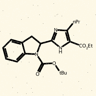 CCCc1nc(C2Cc3ccccc3N2C(=O)OC(C)(C)C)[nH]c1C(=O)OCC